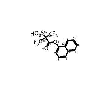 O=C(Oc1cccc2ccccc12)C(C(F)(F)F)(C(F)(F)F)S(=O)(=O)O